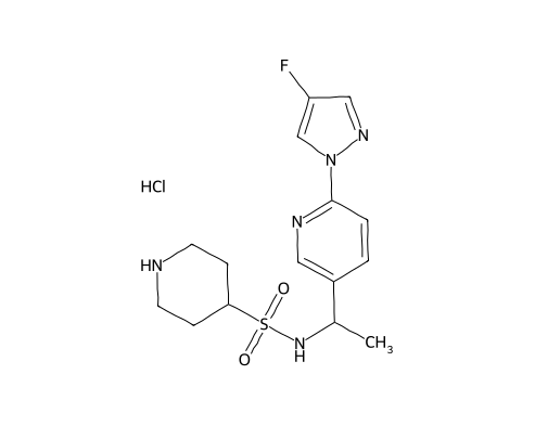 CC(NS(=O)(=O)C1CCNCC1)c1ccc(-n2cc(F)cn2)nc1.Cl